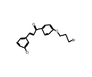 O=C(C=Cc1cccc(Cl)c1)c1ccc(OCCCBr)cc1